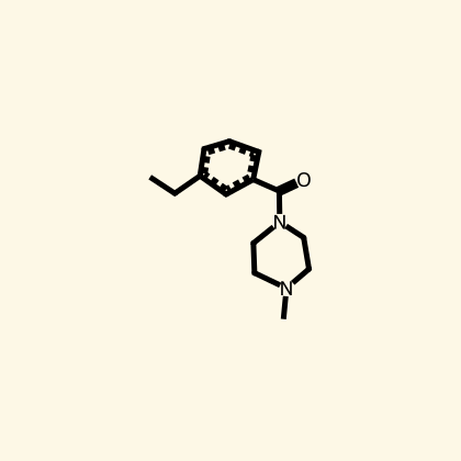 CCc1cccc(C(=O)N2CCN(C)CC2)c1